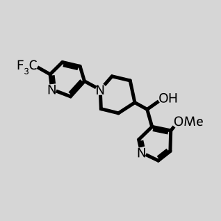 COc1ccncc1C(O)C1CCN(c2ccc(C(F)(F)F)nc2)CC1